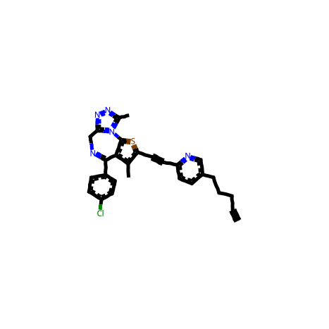 C#CCCCc1ccc(C#Cc2sc3c(c2C)C(c2ccc(Cl)cc2)=NCc2nnc(C)n2-3)nc1